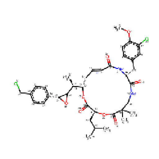 COc1ccc(C[C@H]2NC(=O)/C=C/C[C@@H]([C@H](C)C3O[C@@H]3c3ccc(CCl)cc3)OC(=O)[C@H](CC(C)C)OC(=O)C(C)(C)CNC2=O)cc1Cl